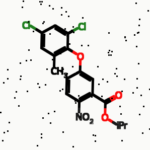 Cc1cc(Cl)cc(Cl)c1Oc1ccc([N+](=O)[O-])c(C(=O)OC(C)C)c1